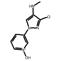 CNc1cn(-c2ccc[n+](O)c2)nc1Cl